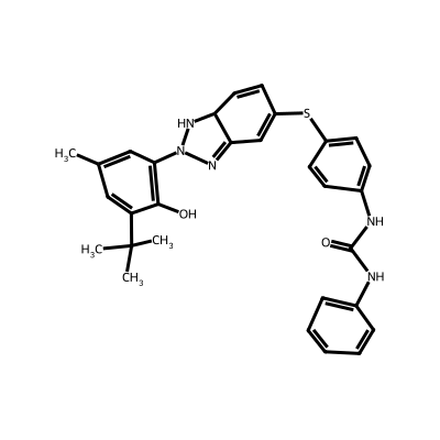 Cc1cc(N2N=C3C=C(Sc4ccc(NC(=O)Nc5ccccc5)cc4)C=CC3N2)c(O)c(C(C)(C)C)c1